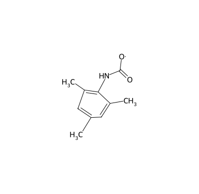 Cc1cc(C)c(NC([O])=O)c(C)c1